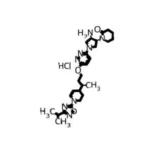 CC(C)c1noc(N2CCC([C@H](C)CCOc3ccc(N4C[C@@H](N)[C@@H](N5CCCCC5=O)C4)nn3)CC2)n1.Cl